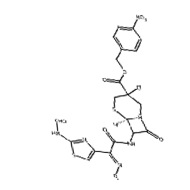 CCCON=C(C(=O)NC1C(=O)N2CC(Cl)(C(=O)OCc3ccc([N+](=O)[O-])cc3)CS[C@H]12)c1csc(NC=O)n1